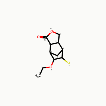 CCOC1C(S)C2CC1C1C(=O)OCC21